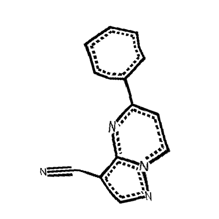 N#Cc1cnn2ccc(-c3ccccc3)nc12